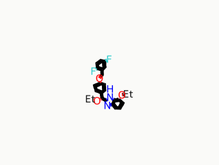 CCOc1cccc2nc(C(OCC)c3ccc(OCc4cc(F)ccc4F)cc3)[nH]c12